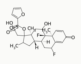 CC1C[C@H]2[C@@H]3CC(F)C4=CC(=O)C=C[C@]4(C)[C@@]3(F)C(O)C[C@]2(C)C1(CS(=O)(O)=S)OC(=O)c1ccco1